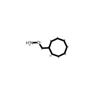 NOCC1CCCCCCC1